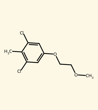 COCCOc1cc(Cl)c(C)c(Cl)c1